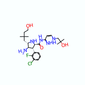 CC(C)(O)CN/C=C\C(=N)NC(=O)[C@@H]1N[C@@H](CC(C)(C)CCO)C(N)[C@H]1c1cccc(Cl)c1F